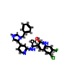 C[C@H](Nc1cc(-c2cncn2Cc2ccccc2)ccn1)c1cc2cc(Cl)c(F)cc2[nH]c1=O